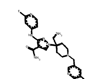 NCC1(n2cc(C(N)=O)c(Nc3ccnc(F)c3)n2)CCN(Cc2cncc(F)c2)CC1